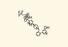 O=C(NS(=O)(=O)CCC(F)(F)F)c1ccc(N2CCN(Cc3ccccc3-c3cncc(O)c3)CC2)nn1